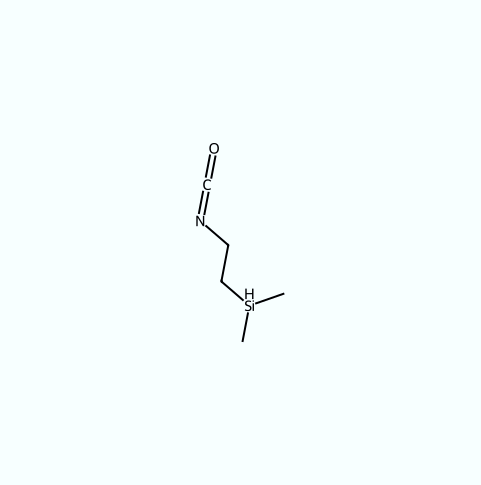 C[SiH](C)CCN=C=O